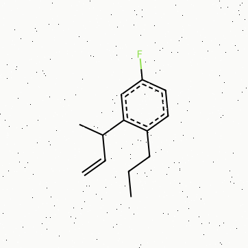 C=C[C](C)c1cc(F)ccc1CCC